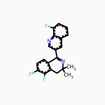 CC1(C)Cc2c(ccc(F)c2F)C(c2cnc3c(F)cccc3c2)=N1